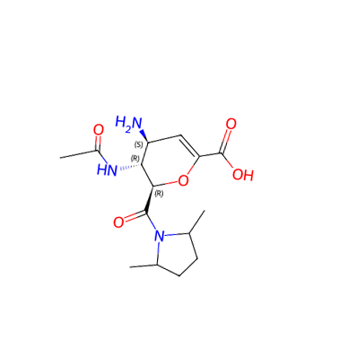 CC(=O)N[C@@H]1[C@@H](N)C=C(C(=O)O)O[C@H]1C(=O)N1C(C)CCC1C